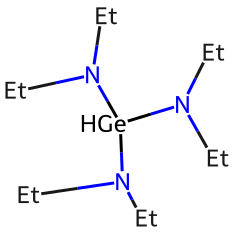 CC[N](CC)[GeH]([N](CC)CC)[N](CC)CC